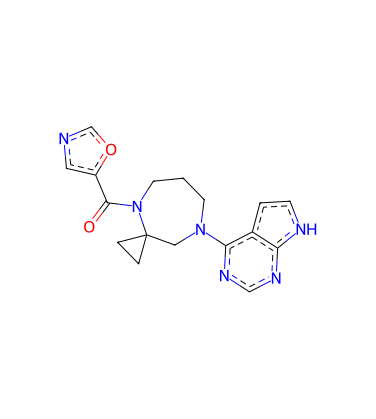 O=C(c1cnco1)N1CCCN(c2ncnc3[nH]ccc23)CC12CC2